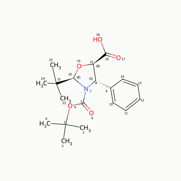 CC(C)(C)OC(=O)N1[C@@H](c2ccccc2)[C@H](C(=O)O)O[C@@H]1C(C)(C)C